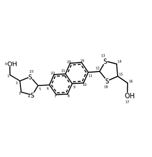 OCC1CSC(c2ccc3cc(C4SCC(CO)S4)ccc3c2)S1